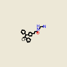 CC/C(=C(\c1ccccc1)c1ccc(/C=C/C(=O)NCCC#N)cc1)c1ccccc1